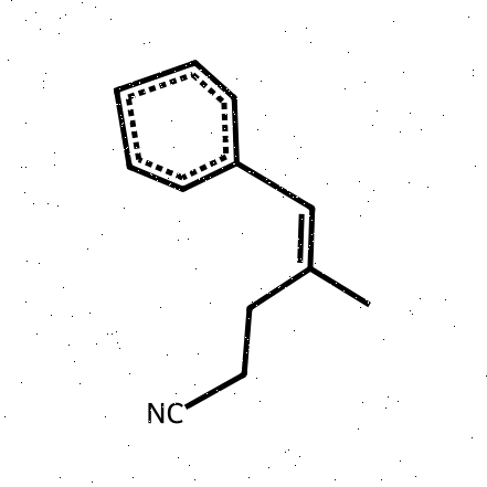 CC(=Cc1ccccc1)CCC#N